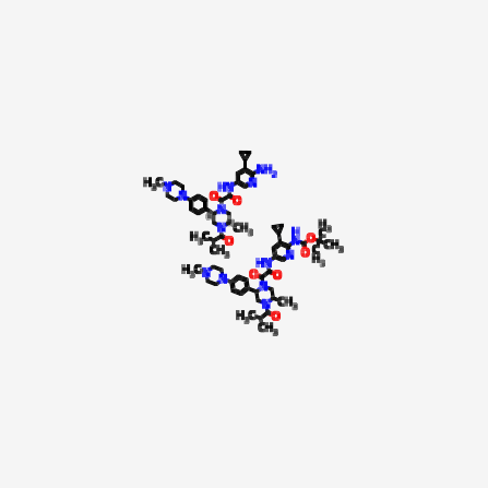 CC(C)C(=O)N1CC(c2ccc(N3CCN(C)CC3)cc2)N(C(=O)C(=O)Nc2cnc(NC(=O)OC(C)(C)C)c(C3CC3)c2)CC1C.CC(C)C(=O)N1C[C@@H](c2ccc(N3CCN(C)CC3)cc2)N(C(=O)C(=O)Nc2cnc(N)c(C3CC3)c2)C[C@@H]1C